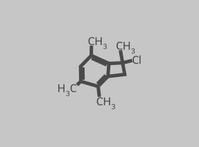 Cc1cc(C)c2c(c1C)CC2(C)Cl